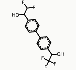 OC(c1ccc(-c2ccc(C(O)C(F)(F)F)cc2)cc1)C(F)F